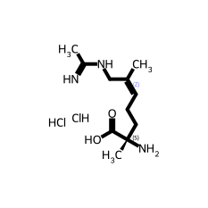 CC(=N)NC/C(C)=C\CC[C@](C)(N)C(=O)O.Cl.Cl